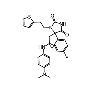 CN(C)c1ccc(NC(=O)CC2(c3ccc(F)cc3)C(=O)NC(=O)N2CCc2cccs2)cc1